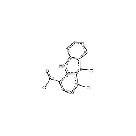 O=c1c2ccccc2[nH]c2c([N+](=O)[O-])ccc(Cl)c12